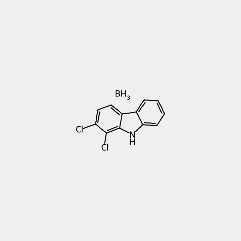 B.Clc1ccc2c([nH]c3ccccc32)c1Cl